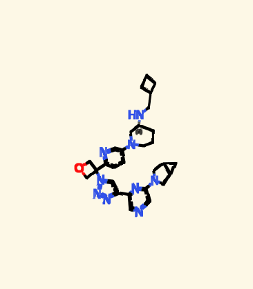 c1cc(C2(n3cc(-c4cncc(N5CC6CC6C5)n4)nn3)COC2)ncc1N1CCC[C@@H](NCC2CCC2)C1